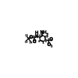 COC(=O)c1ccc(NC(=O)OC(C)(C)C)c(N)c1